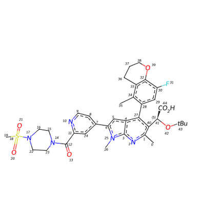 Cc1nc2c(cc(-c3ccnc(C(=O)N4CCN(S(C)(=O)=O)CC4)c3)n2C)c(-c2cc(F)c3c(c2C)CCCO3)c1[C@H](OC(C)(C)C)C(=O)O